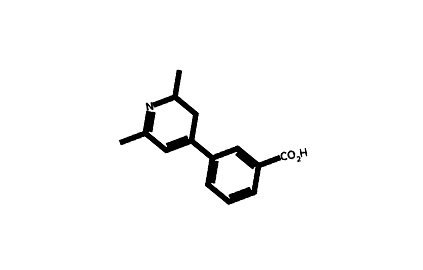 CC1=NC(C)CC(c2cccc(C(=O)O)c2)=C1